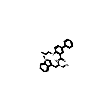 CCCOc1ccc(-c2ccccc2)cc1C(=O)N[C@@H](CO)Cc1cn(C)c2ccccc12